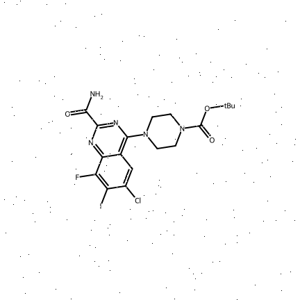 CC(C)(C)OC(=O)N1CCN(c2nc(C(N)=O)nc3c(F)c(I)c(Cl)cc23)CC1